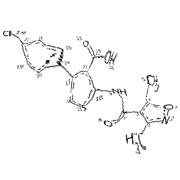 Cc1noc(C)c1C(=O)Nc1scc(-c2ccc(Cl)cc2)c1C(=O)O